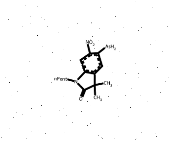 CCCCCN1C(=O)C(C)(C)c2cc([AsH2])c([N+](=O)[O-])cc21